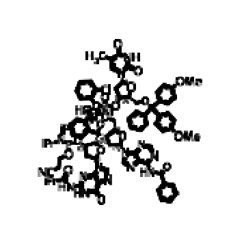 COc1ccc(C(OC[C@@H]2O[C@@H](n3cc(C)c(=O)[nH]c3=O)C[C@@H]2OP(=O)(OC[C@@H]2O[C@@H](n3cnc4c(NC(=O)c5ccccc5)ncnc43)C[C@@H]2C(OP(=O)(O)O)(c2ccccc2Cl)[C@@H]2O[C@@H](n3cnc4c(=O)[nH]c(NC(=O)C(C)C)nc43)C[C@@H]2OP(OCCC#N)N(C(C)C)C(C)C)Oc2ccccc2Cl)(c2ccccc2)c2ccc(OC)cc2)cc1